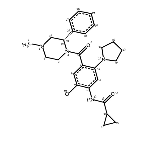 CN1CCN(C(=O)c2cc(Cl)c(NC(=O)C3CC3)cc2N2CCCC2)[C@@H](c2ccccc2)C1